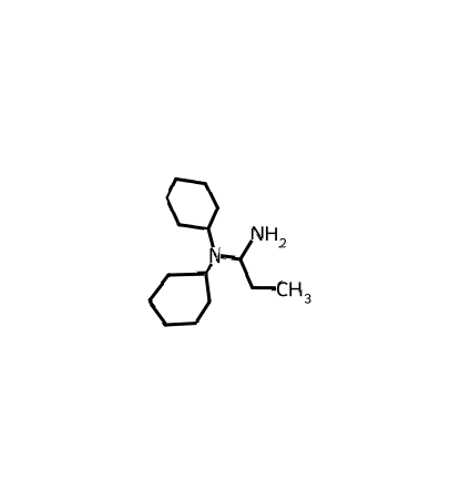 CCC(N)N(C1CCCCC1)C1CCCCC1